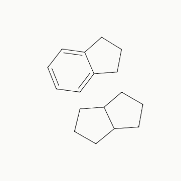 C1CC2CCCC2C1.c1ccc2c(c1)CCC2